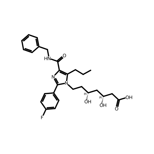 CCCc1c(C(=O)NCc2ccccc2)nc(-c2ccc(F)cc2)n1CC[C@@H](O)C[C@@H](O)CC(=O)O